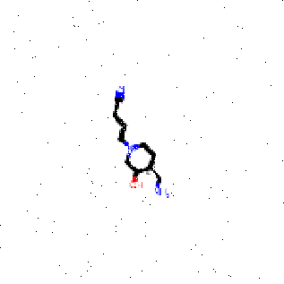 N#CCCCN1CC[C@@H](CN)C(O)C1